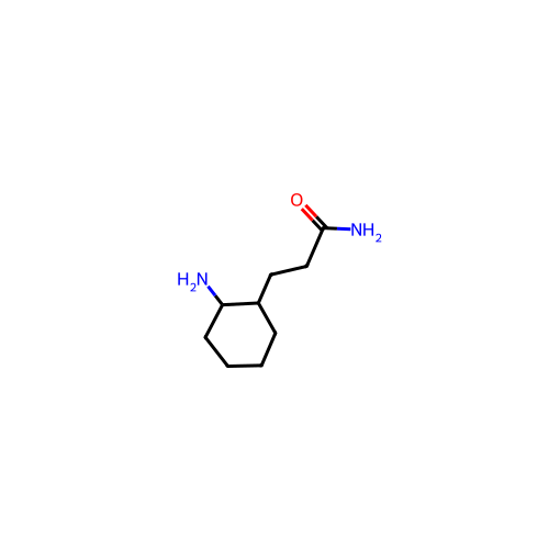 NC(=O)CCC1CCCCC1N